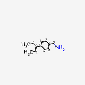 CC=C(CC)c1ccc(CN)cc1